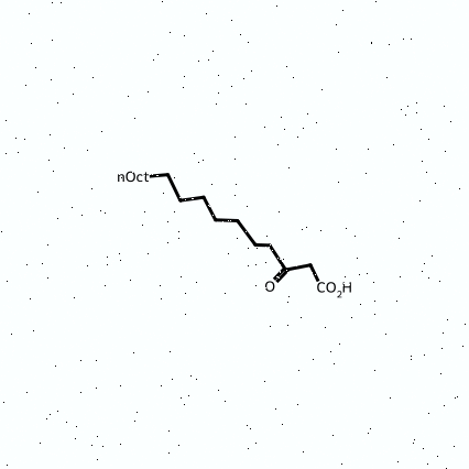 CCCCCCCCCCCCCCCC(=O)CC(=O)O